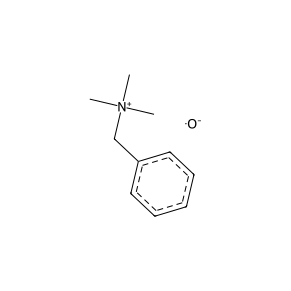 C[N+](C)(C)Cc1ccccc1.[O-]